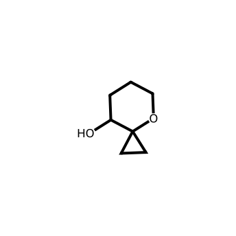 OC1CCCOC12CC2